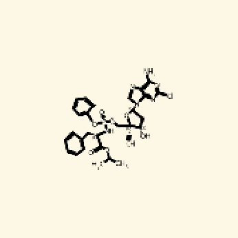 C#C[C@]1(COP(=O)(N[C@H](Cc2ccccc2)C(=O)OC(C)C)Oc2ccccc2)O[C@@H](n2cnc3c(N)nc(Cl)nc32)C[C@@H]1O